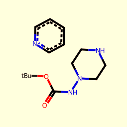 CC(C)(C)OC(=O)NN1CCNCC1.c1ccncc1